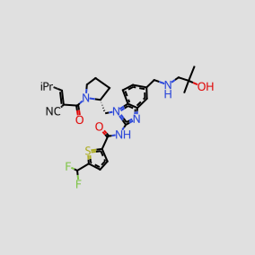 CC(C)/C=C(\C#N)C(=O)N1CCC[C@@H]1Cn1c(NC(=O)c2ccc(C(F)F)s2)nc2cc(CNCC(C)(C)O)ccc21